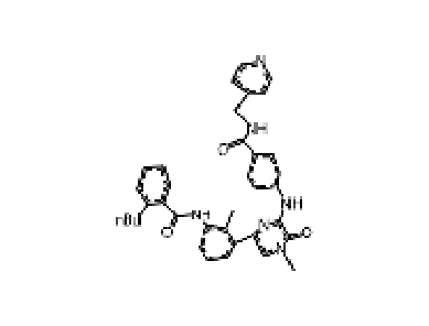 CCCCc1ccccc1C(=O)Nc1cccc(-c2cn(C)c(=O)c(Nc3ccc(C(=O)NCc4ccncc4)cc3)n2)c1C